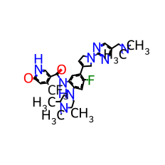 CC1CN(c2cc(F)c(C3=CCN(c4ncc(CN(C)C)cn4)C3)cc2NC(=O)c2c[nH]c(=O)cc2C(F)(F)F)CC(C)N1C